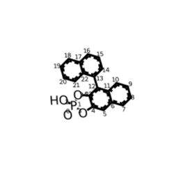 O=P1(O)Oc2cc3ccccc3c(-c3cccc4ccccc34)c2O1